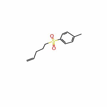 C=CCCCS(=O)(=O)c1ccc(C)cc1